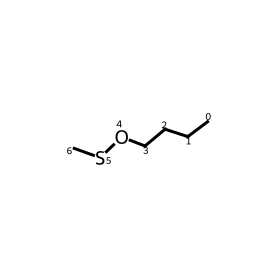 CCCCOSC